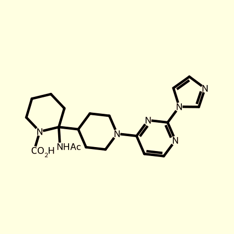 CC(=O)NC1(C2CCN(c3ccnc(-n4ccnc4)n3)CC2)CCCCN1C(=O)O